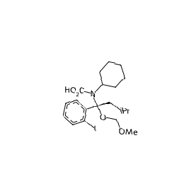 COCO[C@](CC(C)C)(c1ccccc1I)N(C(=O)O)C1CCCCC1